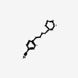 N#Cc1ccc(CCCCC2CCCCC2)cc1